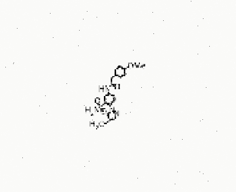 C=Cc1cnn(-c2ccc(NC(=O)Cc3ccc(OC)cc3)cc2S(N)(=O)=O)c1